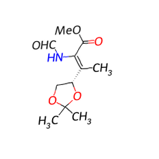 COC(=O)/C(NC=O)=C(\C)[C@H]1COC(C)(C)O1